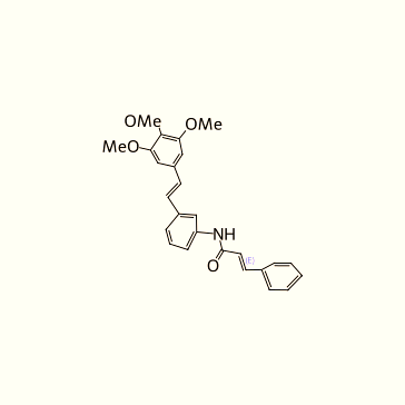 COc1cc(C=Cc2cccc(NC(=O)/C=C/c3ccccc3)c2)cc(OC)c1OC